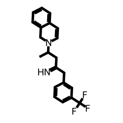 CC(CC(=N)Cc1cccc(C(F)(F)F)c1)N1C=Cc2ccccc2C1